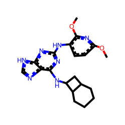 COc1ccc(Nc2nc(NC3CC4CCCCC43)c3nc[nH]c3n2)c(OC)n1